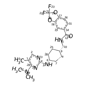 Cc1cnc(N[C@H]2CC[C@@H](CNC(=O)c3ccc4c(c3)OC(F)(F)O4)CC2)nc1N(C)C